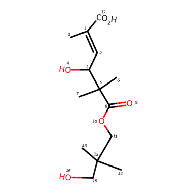 CC(=CC(O)C(C)(C)C(=O)OCC(C)(C)CO)C(=O)O